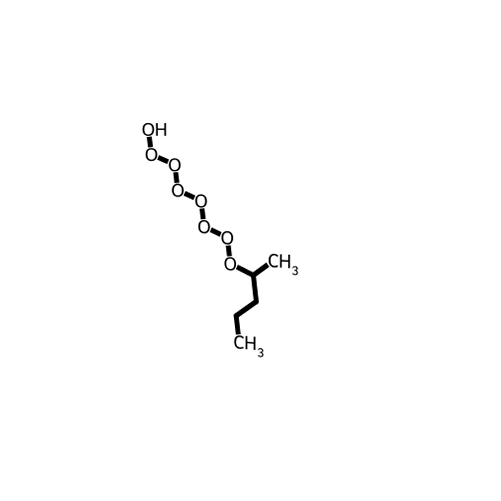 CCCC(C)OOOOOOOO